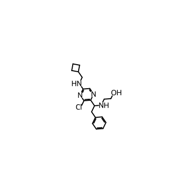 OCCNC(Cc1ccccc1)c1ncc(NCC2CCC2)nc1Cl